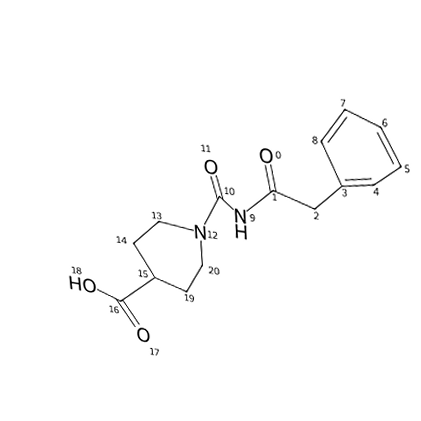 O=C(Cc1ccccc1)NC(=O)N1CCC(C(=O)O)CC1